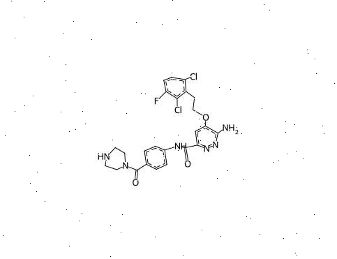 Nc1nnc(C(=O)Nc2ccc(C(=O)N3CCNCC3)cc2)cc1OCCc1c(Cl)ccc(F)c1Cl